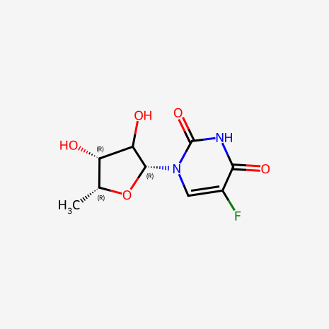 C[C@H]1O[C@@H](n2cc(F)c(=O)[nH]c2=O)C(O)[C@H]1O